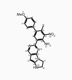 COc1ccc(-c2cc(-c3ncc4cc5n(c4n3)CCN5)c(N)c([N+](=O)[O-])c2C)cc1